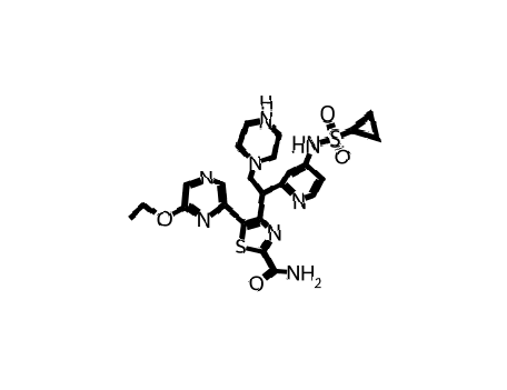 CCOc1cncc(-c2sc(C(N)=O)nc2C(CN2CCNCC2)c2cc(NS(=O)(=O)C3CC3)ccn2)n1